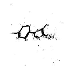 Cc1ccc(-c2cnc(N)c(C)n2)cc1